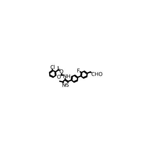 Cc1nsc(-c2ccc(-c3ccc(CC=O)cc3F)cc2)c1NC(=O)O[C@H](C)c1ccccc1Cl